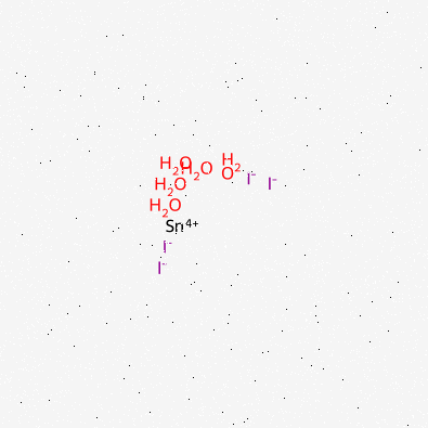 O.O.O.O.O.[I-].[I-].[I-].[I-].[Sn+4]